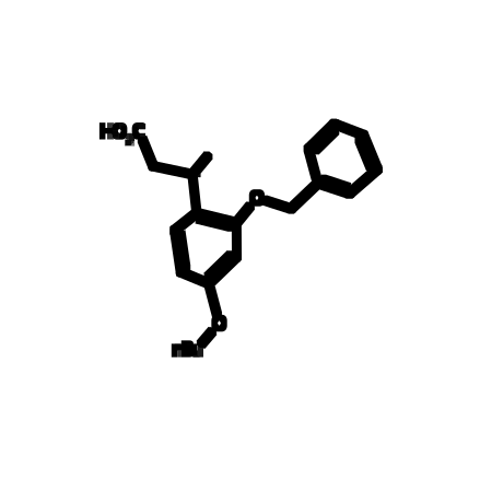 CCCCOc1ccc([C](C)CC(=O)O)c(OCc2ccccc2)c1